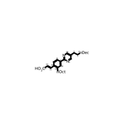 CCCCCCCCCCCCc1cnc(-c2ccc(C=CC(=O)O)c(CCCCCCCC)c2)nc1